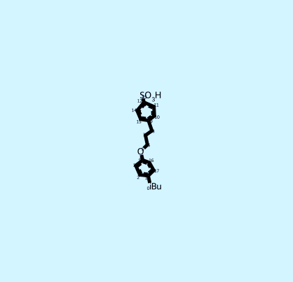 CCC(C)c1ccc(OCCCc2ccc(S(=O)(=O)O)cc2)cc1